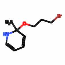 O=[N+]([O-])C1(OCCCBr)C=CC=CN1